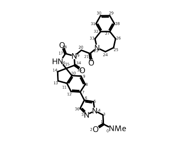 CNC(=O)Cn1cc(-c2ccc3c(c2)CCC32NC(=O)N(CC(=O)N3CCCc4ccccc4C3)C2=O)cn1